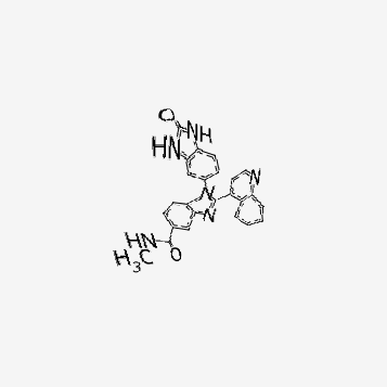 CNC(=O)c1ccc2c(c1)nc(-c1ccnc3ccccc13)n2-c1ccc2[nH]c(=O)[nH]c2c1